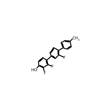 Cc1ccc(-c2ccc(-c3ccc(O)c(F)c3F)cc2F)cc1